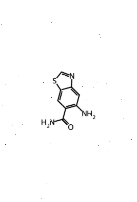 NC(=O)c1cc2scnc2cc1N